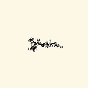 CN(CCCC(=O)Nc1ncnc2c1ncn2[C@H]1CCC(CO[PH](=O)O[C@@H]2CC(CO[PH](=O)O)O[C@H]2n2cc(F)c3c(=O)[nH]cnc32)O1)C(=O)OC(C)(C)C